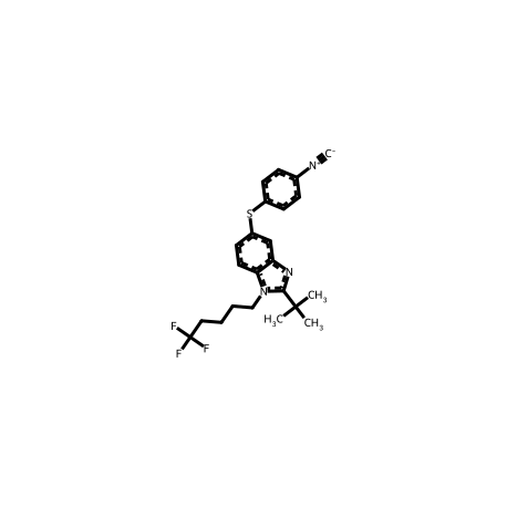 [C-]#[N+]c1ccc(Sc2ccc3c(c2)nc(C(C)(C)C)n3CCCCC(F)(F)F)cc1